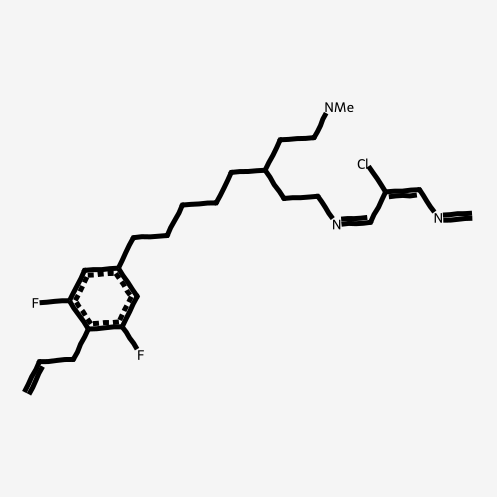 C=CCc1c(F)cc(CCCCCC(CC/N=C\C(Cl)=C/N=C)CCNC)cc1F